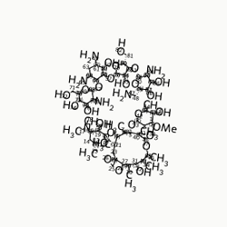 CO[C@H]1C[C@H](O[C@H]2[C@H](C)[C@@H](O[C@@H]3O[C@H](C)C[C@H](N(C)C)[C@H]3O)[C@@H](C)C[C@]3(CO3)C(=O)[C@H](C)[C@@H](O)[C@@H](C)[C@@H](C)OC(=O)[C@@H]2C)O[C@@H](C)[C@@H]1O.NC[C@@H]1O[C@H](O[C@H]2[C@@H](O)[C@H](O[C@@H]3[C@@H](O)[C@H](N)C[C@H](N)[C@H]3O[C@H]3O[C@H](CO)[C@@H](O)[C@H](O)[C@H]3N)O[C@@H]2CO)[C@H](N)[C@@H](O)[C@@H]1O